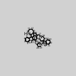 O=C(c1ccccc1)C1NCCCCC1(CCCN1CCC(C(=O)N2CCCC2)(c2ccccc2)CC1)c1ccc(Cl)c(Cl)c1